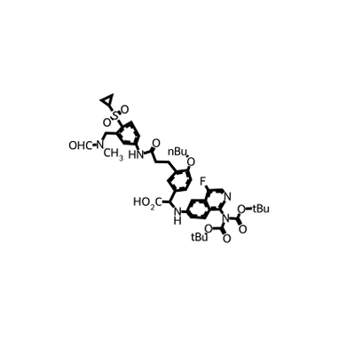 CCCCOc1ccc(C(Nc2ccc3c(N(C(=O)OC(C)(C)C)C(=O)OC(C)(C)C)ncc(F)c3c2)C(=O)O)cc1CCC(=O)Nc1ccc(S(=O)(=O)C2CC2)c(CN(C)C=O)c1